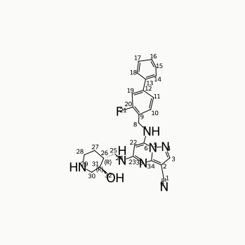 N#Cc1cnn2c(NCc3ccc(-c4ccccc4)cc3F)cc(NC[C@H]3CCNC[C@@H]3O)nc12